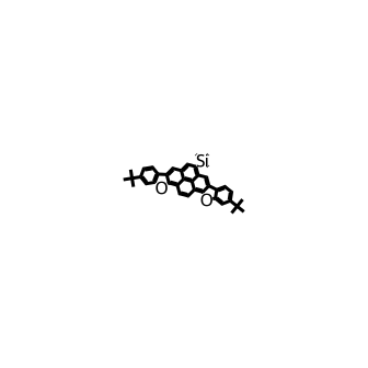 CC(C)(C)c1ccc2c(c1)oc1c2cc2cc([Si](C)(C)C)c3cc4c5ccc(C(C)(C)C)cc5oc4c4ccc1c2c34